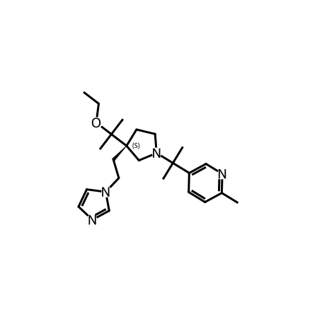 CCOC(C)(C)[C@]1(CCn2ccnc2)CCN(C(C)(C)c2ccc(C)nc2)C1